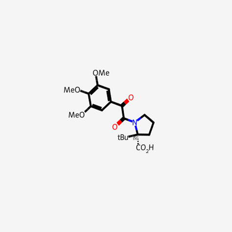 COc1cc(C(=O)C(=O)N2CCC[C@@]2(C(=O)O)C(C)(C)C)cc(OC)c1OC